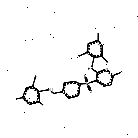 Cc1cc(C)c(NCc2ccc(S(=O)(=O)c3ccc(C)nc3Nc3c(C)cc(C)cc3C)cc2)c(C)c1